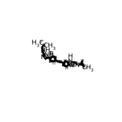 CC(C)CNCc1ncc(-c2ccc(C#Cc3ccc4nc(CNC5CC5C)[nH]c4c3)cc2F)[nH]1